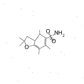 CC1=C2OC(C)(C)CC2C(C)C(S(N)(=O)=O)=C1C